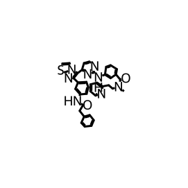 CN(CCc1ccccn1)C(=O)c1cccc(Nc2nccc(-c3c(-c4cccc(NC(=O)Cc5ccccc5)c4)nc4sccn34)n2)c1